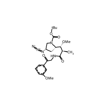 COc1cccc(C(=O)CNC(=O)[C@H](C)[C@@H](OC)[C@@H]2C[C@H](N=[N+]=[N-])CN2C(=O)OC(C)(C)C)c1